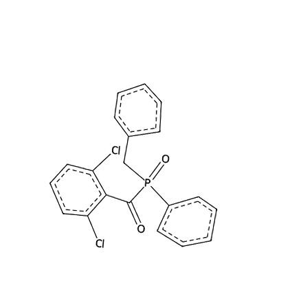 O=C(c1c(Cl)cccc1Cl)P(=O)(Cc1ccccc1)c1ccccc1